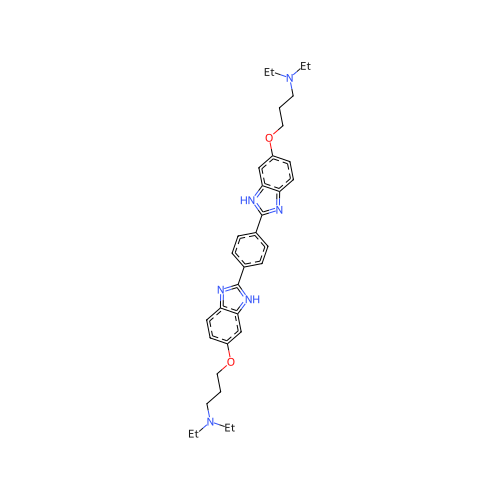 CCN(CC)CCCOc1ccc2nc(-c3ccc(-c4nc5ccc(OCCCN(CC)CC)cc5[nH]4)cc3)[nH]c2c1